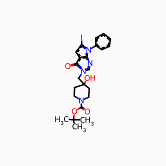 CC(C)(C)OC(=O)N1CCC(O)(Cn2cnc3c(cc(I)n3-c3ccccc3)c2=O)CC1